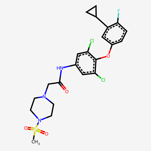 CS(=O)(=O)N1CCN(CC(=O)Nc2cc(Cl)c(Oc3ccc(F)c(C4CC4)c3)c(Cl)c2)CC1